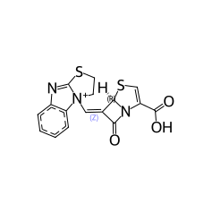 O=C(O)C1=CS[C@@H]2/C(=C\[N+]34CCSC3=Nc3ccccc34)C(=O)N12